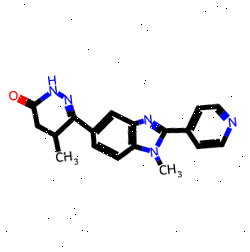 CC1CC(=O)NN=C1c1ccc2c(c1)nc(-c1ccncc1)n2C